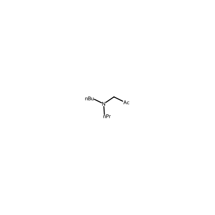 CCCCN(CCC)CC(C)=O